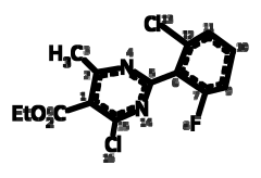 CCOC(=O)c1c(C)nc(-c2c(F)cccc2Cl)nc1Cl